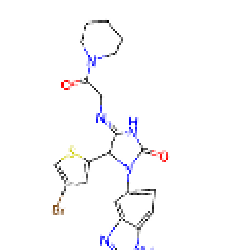 O=C(CN=C1NC(=O)N(c2ccc3[nH]cnc3c2)C1c1cc(Br)cs1)N1CCCCC1